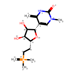 C=C1NC(=O)N(C)C=C1[C@@H]1O[C@H](CCP(=C)(C)C)[C@@H](O)C1O